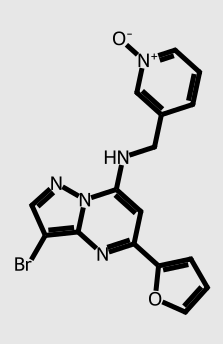 [O-][n+]1cccc(CNc2cc(-c3ccco3)nc3c(Br)cnn23)c1